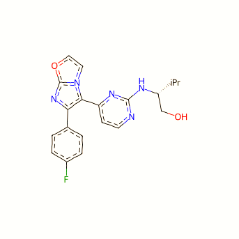 CC(C)[C@H](CO)Nc1nccc(-c2c(-c3ccc(F)cc3)nc3occn23)n1